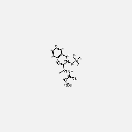 CC(NC(=O)OC(C)(C)C)C(=O)N(Cc1ccccc1)C[Si](C)(C)C